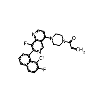 C=CC(=O)N1CCN(c2ccnc3c(F)c(-c4cccc5ccc(F)c(Cl)c45)ncc23)CC1